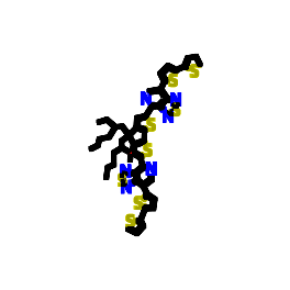 CCCCC(CC)CC1(CC(CC)CCCC)c2cc(-c3ncc(-c4ccc(C5=CCCS5)s4)c4nsnc34)sc2-c2sc(-c3ncc(-c4ccc(-c5cccs5)s4)c4nsnc34)cc21